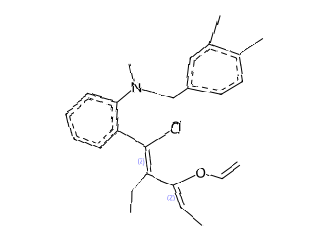 C=COC(=C\C)/C(CC)=C(\Cl)c1ccccc1N(C)Cc1ccc(C)c(C)c1